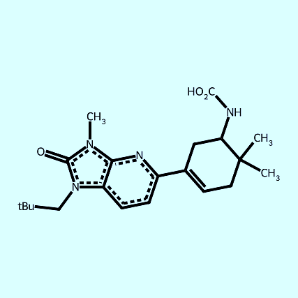 Cn1c(=O)n(CC(C)(C)C)c2ccc(C3=CCC(C)(C)C(NC(=O)O)C3)nc21